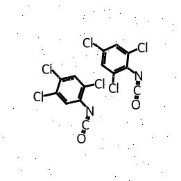 O=C=Nc1c(Cl)cc(Cl)cc1Cl.O=C=Nc1cc(Cl)c(Cl)cc1Cl